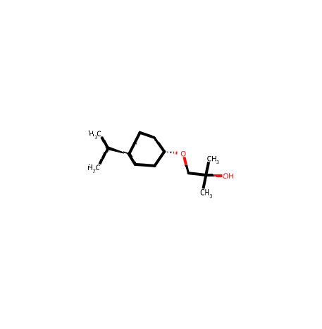 CC(C)[C@H]1CC[C@H](OCC(C)(C)O)CC1